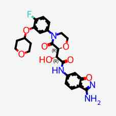 Nc1noc2cc(NC(=O)[C@H](O)[C@H]3OCCN(c4ccc(F)c(OC5CCOCC5)c4)C3=O)ccc12